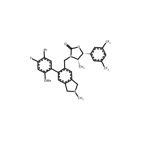 COc1cc(F)c(C(C)C)cc1-c1cc2c(cc1CN1C(=O)O[C@H](c3cc(C(F)(F)F)cc(C(F)(F)F)c3)[C@@H]1C)CN(C)C2